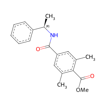 COC(=O)c1c(C)cc(C(=O)N[C@H](C)c2ccccc2)cc1C